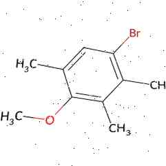 COc1c(C)cc(Br)c(C)c1C